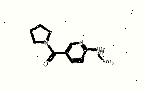 NNc1ccc(C(=O)N2CCCC2)cn1